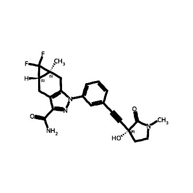 CN1CC[C@@](O)(C#Cc2cccc(-n3nc(C(N)=O)c4c3C[C@@]3(C)[C@H](C4)C3(F)F)c2)C1=O